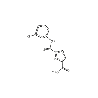 COC(=O)c1ccn(C(=S)Nc2cccc(Cl)c2)n1